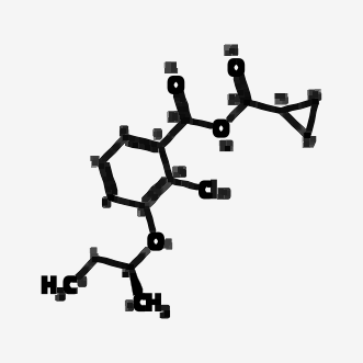 CC[C@H](C)Oc1cccc(C(=O)OC(=O)C2CC2)c1Cl